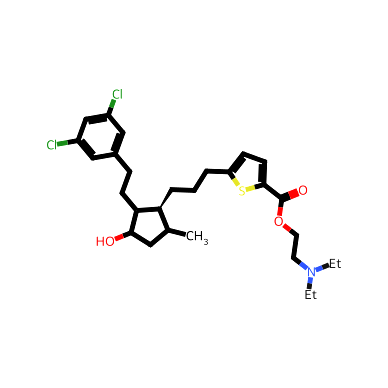 CCN(CC)CCOC(=O)c1ccc(CCC[C@H]2C(C)CC(O)C2CCc2cc(Cl)cc(Cl)c2)s1